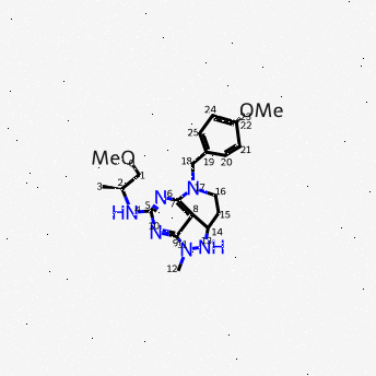 COC[C@H](C)Nc1nc2c3c(n1)N(C)NC3CCN2Cc1ccc(OC)cc1